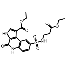 CCOC(=O)CCNS(=O)(=O)c1ccc2[nH]c(=O)c3[nH]cc(C(=O)OCC)c3c2c1